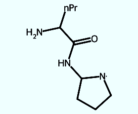 CCCC(N)C(=O)NC1CCC[N]1